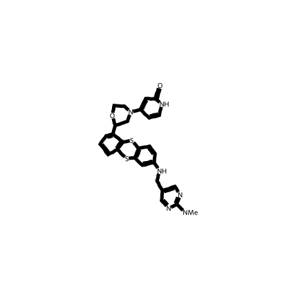 CNc1ncc(CNc2ccc3c(c2)Sc2cccc(C4CN(c5cc[nH]c(=O)c5)CCO4)c2S3)cn1